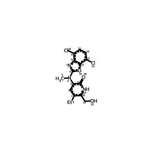 CCc1cc(N(C)c2nc3c(Cl)ccc(Cl)c3o2)c(=O)[nH]c1CO